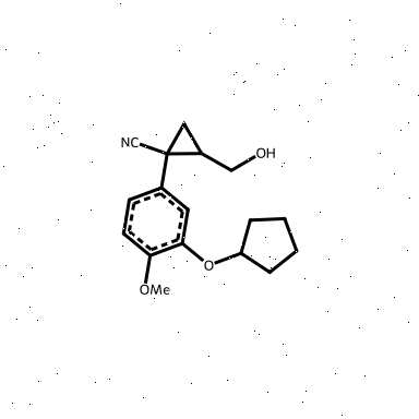 COc1ccc(C2(C#N)CC2CO)cc1OC1CCCC1